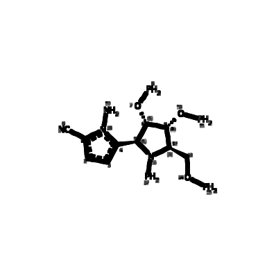 N#Cc1ccc([C@H]2[C@H](OP)[C@H](OP)[C@@H](COP)N2P)n1N